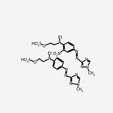 CCN(CCOS(=O)(=O)O)c1ccc(N=Nc2ncn(C)n2)cc1.CCN(CCOS(=O)(=O)O)c1ccc(N=Nc2ncn(C)n2)cc1[N+](=O)[O-]